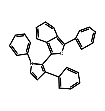 c1ccc(-c2ccn(-c3ccccc3)c2-c2oc(-c3ccccc3)c3ccccc23)cc1